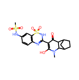 CN1C(O)=C(C2=Nc3ccc(NS(C)(=O)=O)cc3S(=O)(=O)N2)C(=O)C2C3CCC(C3)C21